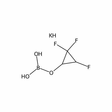 OB(O)OC1C(F)C1(F)F.[KH]